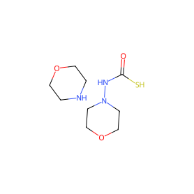 C1COCCN1.O=C(S)NN1CCOCC1